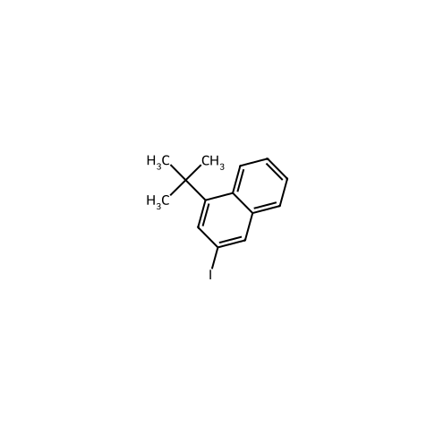 CC(C)(C)c1cc(I)cc2ccccc12